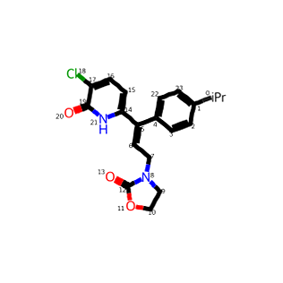 CC(C)c1ccc(/C(=C\CN2CCOC2=O)c2ccc(Cl)c(=O)[nH]2)cc1